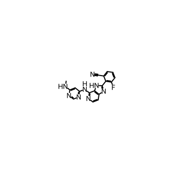 CNc1cc(Nc2nccc3nc(-c4c(F)cccc4C#N)[nH]c23)ncn1